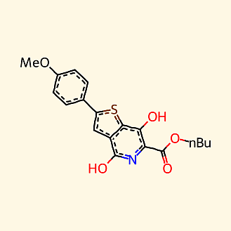 CCCCOC(=O)c1nc(O)c2cc(-c3ccc(OC)cc3)sc2c1O